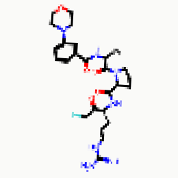 CC(C)C(NC(=O)c1cccc(N2CCOCC2)c1)C(=O)N1CCCC1C(=O)N[C@@H](CCCNC(=N)N)C(=O)CF